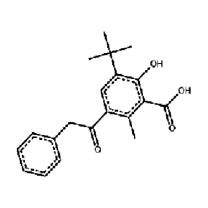 Cc1c(C(=O)Cc2ccccc2)cc(C(C)(C)C)c(O)c1C(=O)O